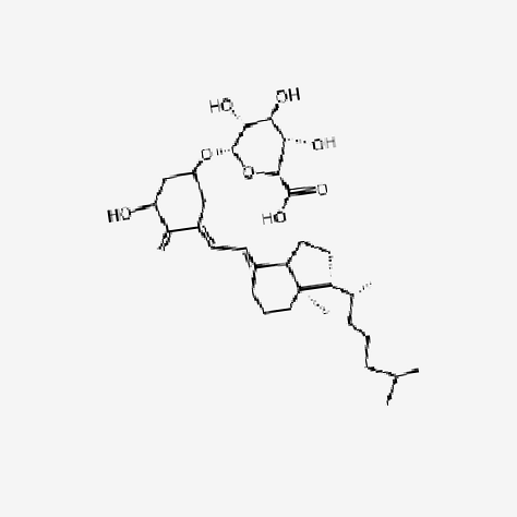 C=C1/C(=C/C=C2\CCC[C@@]3(C)C2CC[C@@H]3[C@H](C)CCCC(C)C)CC(O[C@H]2O[C@H](C(=O)O)[C@@H](O)[C@H](O)[C@H]2O)CC1O